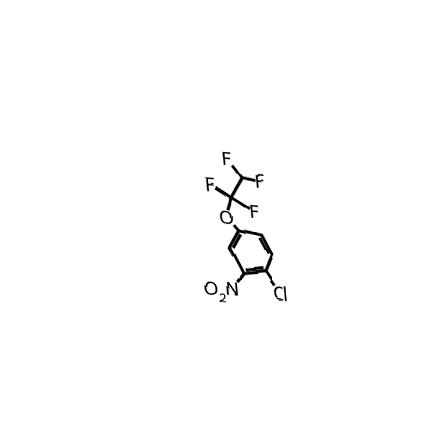 O=[N+]([O-])c1cc(OC(F)(F)C(F)F)ccc1Cl